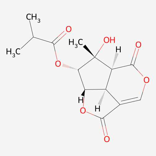 CC(C)C(=O)O[C@H]1[C@H]2OC(=O)C3=COC(=O)[C@@H]([C@@H]32)[C@@]1(C)O